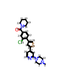 CN1CCN(c2cc(-c3cc(-c4ccc(C(=O)N5CCCCC5)cc4Cl)cs3)ccn2)CC1